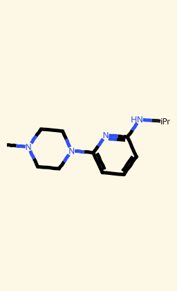 CC(C)Nc1cccc(N2CCN(C)CC2)n1